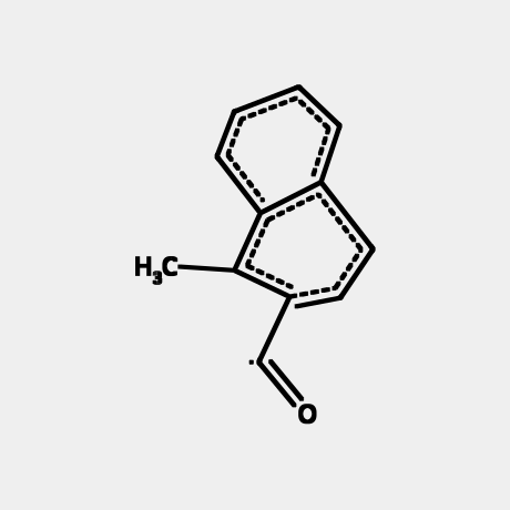 Cc1c([C]=O)ccc2ccccc12